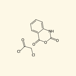 O=C(Cl)CCl.O=c1[nH]c2ccccc2c(=O)o1